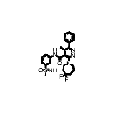 Cc1c(-c2ccccc2)nnc(N2CCCC(F)(F)CC2)c1C(=O)Nc1cccc([S@](C)(=N)=O)c1